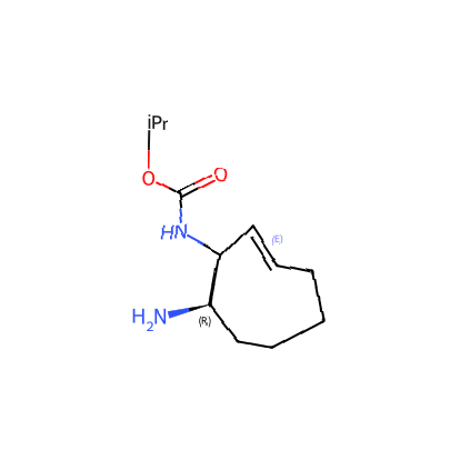 CC(C)OC(=O)NC1/C=C/CCCC[C@H]1N